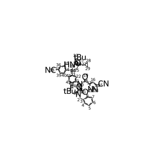 CC(C)(C)N(Cc1ccccc1)C(=O)On1nc(C#N)cc1C(=O)Nc1cc([C@](CCC2CC2)(N[S@+]([O-])C(C)(C)C)c2ccc(C#N)cc2)ccc1F